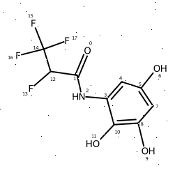 O=C(Nc1cc(O)cc(O)c1O)C(F)C(F)(F)F